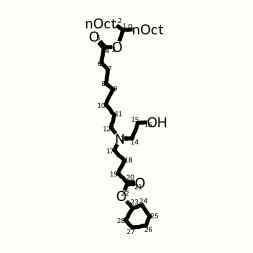 CCCCCCCCC(CCCCCCCC)OC(=O)CCCCCCCN(CCO)CCCC(=O)OC1CCCCC1